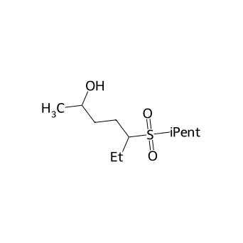 CCCC(C)S(=O)(=O)C(CC)CCC(C)O